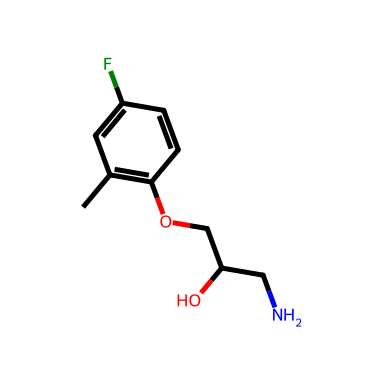 Cc1cc(F)ccc1OCC(O)CN